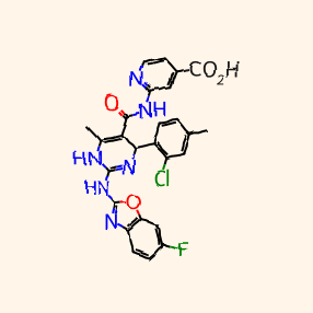 CC1=C(C(=O)Nc2cc(C(=O)O)ccn2)C(c2ccc(C)cc2Cl)N=C(Nc2nc3ccc(F)cc3o2)N1